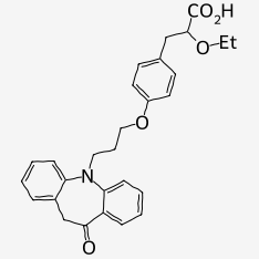 CCOC(Cc1ccc(OCCCN2c3ccccc3CC(=O)c3ccccc32)cc1)C(=O)O